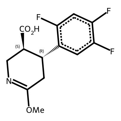 COC1=NC[C@@H](C(=O)O)[C@H](c2cc(F)c(F)cc2F)C1